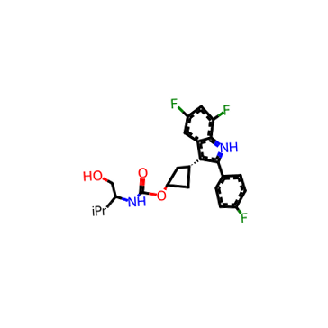 CC(C)C(CO)NC(=O)O[C@H]1C[C@H](c2c(-c3ccc(F)cc3)[nH]c3c(F)cc(F)cc32)C1